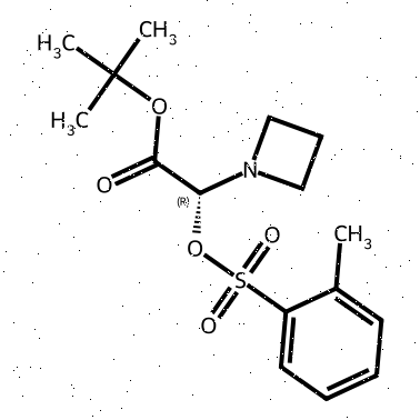 Cc1ccccc1S(=O)(=O)O[C@H](C(=O)OC(C)(C)C)N1CCC1